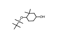 CC1(C)CC(O)CCC1O[Si](C)(C)C(C)(C)C